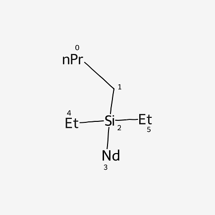 CCCC[Si]([Nd])(CC)CC